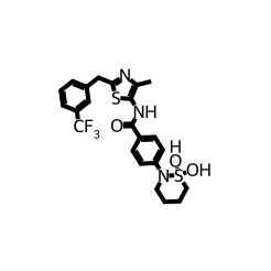 Cc1nc(Cc2cccc(C(F)(F)F)c2)sc1NC(=O)c1ccc(N2CCCCS2(O)O)cc1